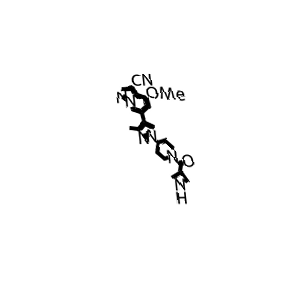 COc1cc(-c2cn(C3CCN(C(=O)C4CNC4)CC3)nc2C)cn2ncc(C#N)c12